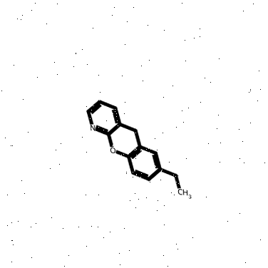 C[CH]c1ccc2c(c1)Cc1cccnc1O2